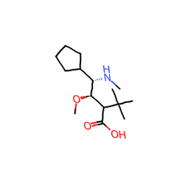 CN[C@@H](C1CCCC1)[C@H](OC)C(C(=O)O)C(C)(C)C